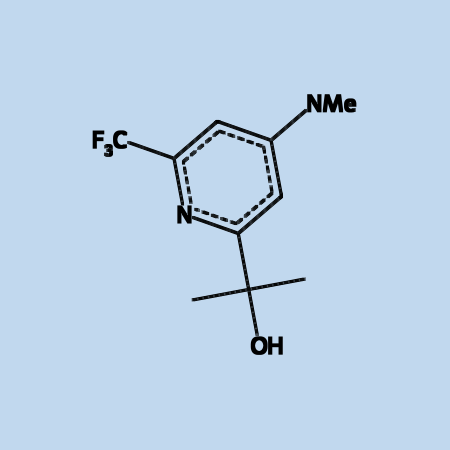 CNc1cc(C(C)(C)O)nc(C(F)(F)F)c1